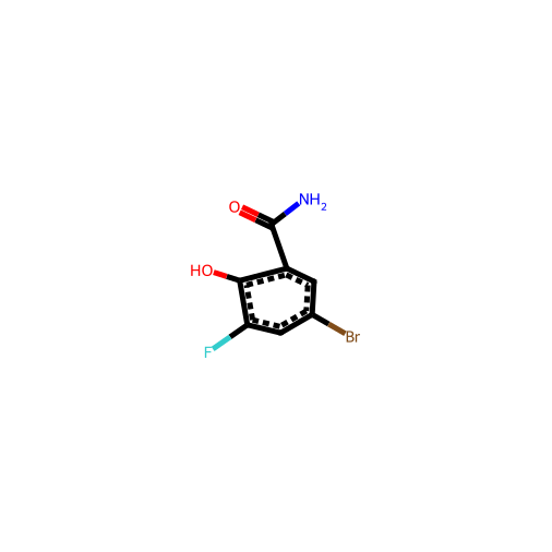 NC(=O)c1cc(Br)cc(F)c1O